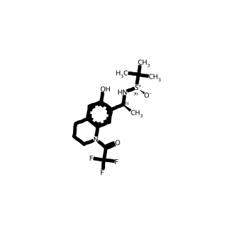 C[C@H](N[S@@+]([O-])C(C)(C)C)c1cc2c(cc1O)CCCN2C(=O)C(F)(F)F